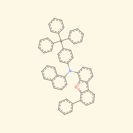 c1ccc(-c2cccc3c2oc2c(N(c4ccc([Si](c5ccccc5)(c5ccccc5)c5ccccc5)cc4)c4cccc5ccccc45)cccc23)cc1